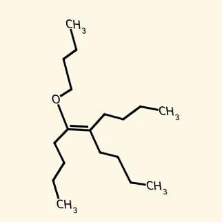 CCCCOC(CCCC)=C(CCCC)CCCC